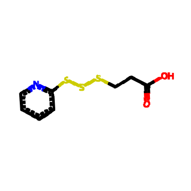 O=C(O)CCSSSc1ccccn1